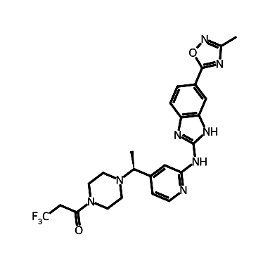 Cc1noc(-c2ccc3nc(Nc4cc([C@H](C)N5CCN(C(=O)CC(F)(F)F)CC5)ccn4)[nH]c3c2)n1